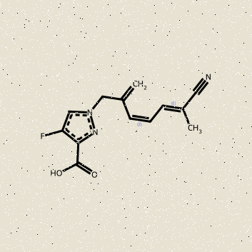 C=C(/C=C\C=C(/C)C#N)Cn1cc(F)c(C(=O)O)n1